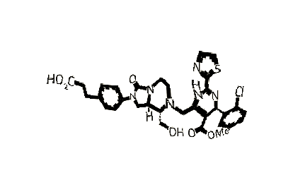 COC(=O)C1=C(CN2CCN3C(=O)N(c4ccc(CCC(=O)O)cc4)C[C@@H]3[C@H]2CO)NC(c2nccs2)=N[C@H]1c1ccccc1Cl